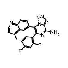 Cc1ccnc2ccc(-c3c(-c4ccc(F)cc4F)nc(N)c4nnnn34)cc12